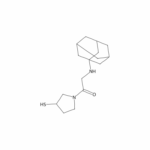 O=C(CNC12CC3CC(CC(C3)C1)C2)N1CCC(S)C1